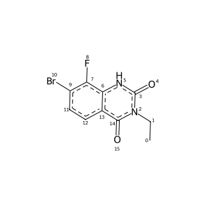 CCn1c(=O)[nH]c2c(F)c(Br)ccc2c1=O